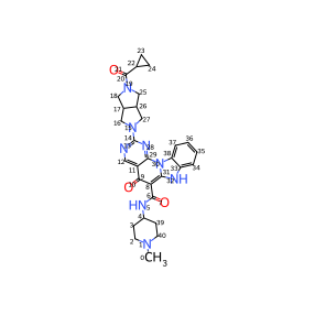 CN1CCC(NC(=O)c2c(=O)c3cnc(N4CC5CN(C(=O)C6CC6)CC5C4)nc3n3c2[nH]c2ccccc23)CC1